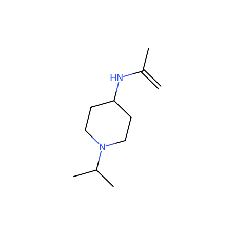 C=C(C)NC1CCN(C(C)C)CC1